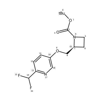 CC(C)(C)OC(=O)N1CC[C@H]1COc1ccc(C(F)F)nc1